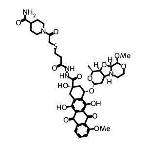 COc1cccc2c1C(=O)c1c(O)c3c(c(O)c1C2=O)C[C@@](O)(C(=O)NNC(=O)CCSCC(=O)N1CCC(C(N)=O)CC1)C[C@@H]3O[C@H]1C[C@H]2[C@H](O[C@@H]3[C@@H](OC)OCCN32)[C@H](C)O1